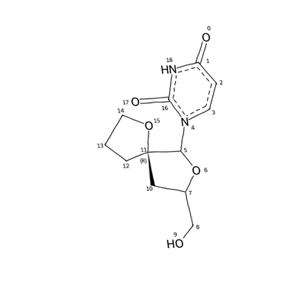 O=c1ccn(C2OC(CO)C[C@]23CCCO3)c(=O)[nH]1